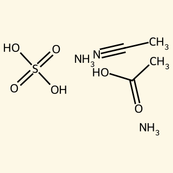 CC#N.CC(=O)O.N.N.O=S(=O)(O)O